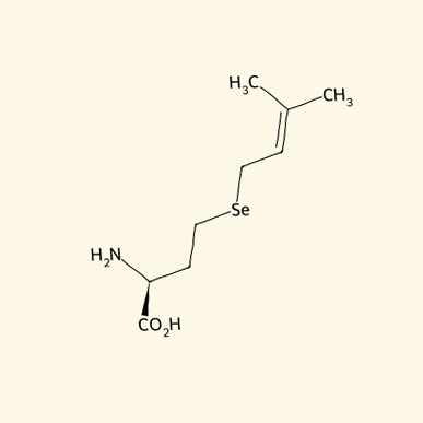 CC(C)=CC[Se]CC[C@H](N)C(=O)O